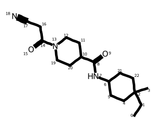 CCC1(C)CCC(NC(=O)C2CCN(C(=O)CC#N)CC2)CC1